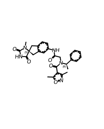 Cc1noc(C)c1C(=O)N(CC(=O)Nc1ccc2c(c1)C[C@@]1(C2)C(=O)NC(=O)N1C)[C@H](C)c1ccccc1